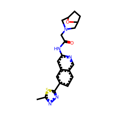 Cc1nnc(-c2ccc3cnc(NC(=O)CN4CC5CCC(C4)O5)cc3c2)s1